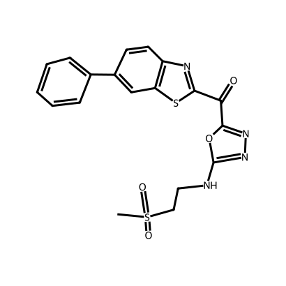 CS(=O)(=O)CCNc1nnc(C(=O)c2nc3ccc(-c4ccccc4)cc3s2)o1